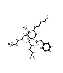 CCCCOC1O[C@H](C(O)Cc2ccccc2)[C@H](OCCCC)[C@@H](OCCCC)[C@@H]1C